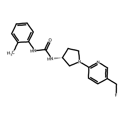 Cc1ccccc1NC(=O)N[C@@H]1CCN(c2ccc(CF)cn2)C1